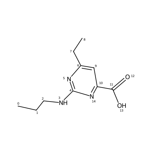 CCCNc1nc(CC)cc(C(=O)O)n1